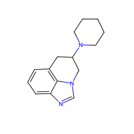 c1cc2c3c(c1)ncn3CC(N1CCCCC1)C2